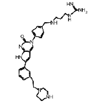 N=C(N)NCCCNCc1ccc(-n2cc3cc(-c4cccc(CCN5CCNCC5)c4)[nH]c3nc2=O)cc1